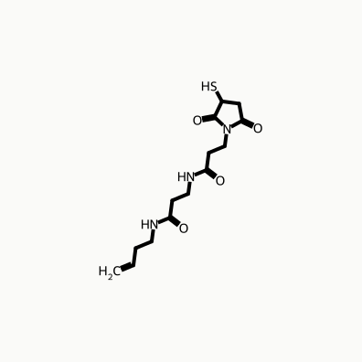 C=CCCNC(=O)CCNC(=O)CCN1C(=O)CC(S)C1=O